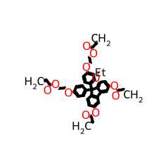 C=CC(=O)OCCOc1ccc(C2(c3ccc(OCCOC(=O)C=C)cc3)c3ccc(OC(=O)C=C)cc3-c3cc(OC(=O)C=C)cc(OCC)c32)cc1